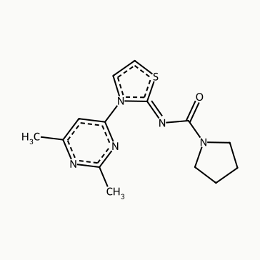 Cc1cc(-n2ccsc2=NC(=O)N2CCCC2)nc(C)n1